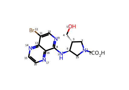 O=C(O)N1C[C@@H](CO)[C@H](Nc2ncc(Br)c3nccnc23)C1